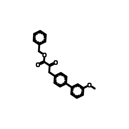 COc1cccc(-c2ccc(CC(=O)C(=O)OCc3ccccc3)cc2)c1